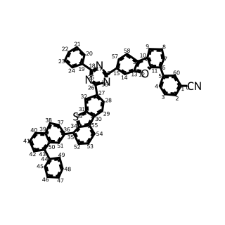 N#Cc1cccc(-c2cccc3c2oc2cc(-c4nc(-c5ccccc5)nc(-c5ccc6c(c5)sc5c(-c7ccc8cccc(-c9ccccc9)c8c7)cccc56)n4)ccc23)c1